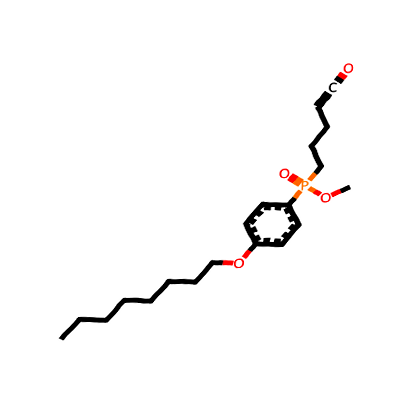 CCCCCCCCOc1ccc(P(=O)(CCCC=C=O)OC)cc1